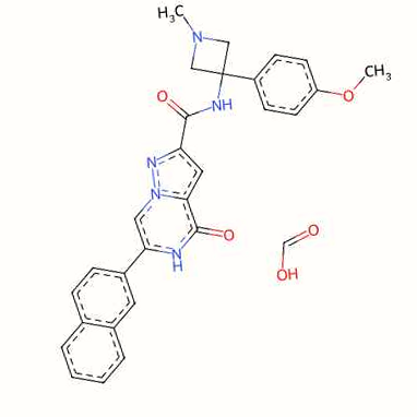 COc1ccc(C2(NC(=O)c3cc4c(=O)[nH]c(-c5ccc6ccccc6c5)cn4n3)CN(C)C2)cc1.O=CO